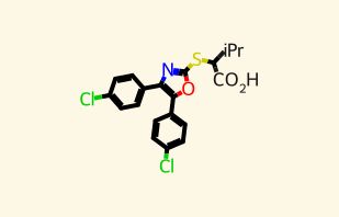 CC(C)C(Sc1nc(-c2ccc(Cl)cc2)c(-c2ccc(Cl)cc2)o1)C(=O)O